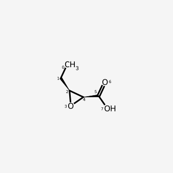 CC[C@@H]1O[C@@H]1C(=O)O